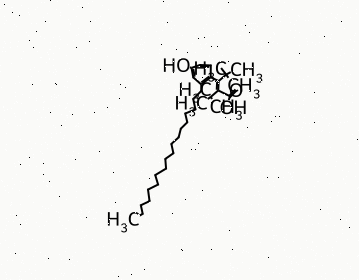 CCCCCCCCCCCCCCCCCCc1cc(O)ccc1C(=C(C(=O)O)C(C)(C)C)C(C)(C)C